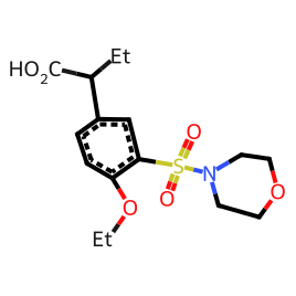 CCOc1ccc(C(CC)C(=O)O)cc1S(=O)(=O)N1CCOCC1